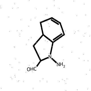 NN1C2=CC=CCC2CC1C=O